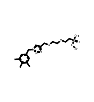 CCOP(=O)(O)CCOCCOCc1cn(Cc2cc(C)c(C)c(C)c2)nn1